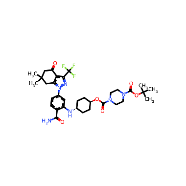 CC1(C)CC(=O)c2c(C(F)(F)F)nn(-c3ccc(C(N)=O)c(N[C@H]4CC[C@H](OC(=O)N5CCN(C(=O)OC(C)(C)C)CC5)CC4)c3)c2C1